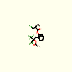 C=C(CBr)C(=O)OC1CC2CCC1(CC(OC(C)=O)(C(F)(F)F)C(F)(F)F)C2